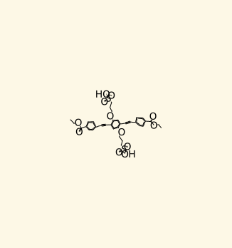 CCOC(=O)c1ccc(C#Cc2cc(OCCCS(=O)(=O)O)c(C#Cc3ccc(C(=O)OCC)cc3)cc2OCCCS(=O)(=O)O)cc1